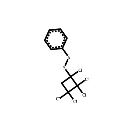 ClC1(Cl)CC(Cl)(SSc2ccccc2)C1(Cl)Cl